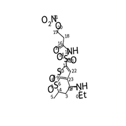 CCN[C@H]1CC(C)S(=O)(=O)c2sc(S(=O)(=O)NC(=O)CCO[N+](=O)[O-])cc21